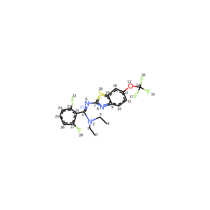 CCN(CC)/C(=N\c1nc2ccc(OC(F)(F)F)cc2s1)c1c(F)cccc1F